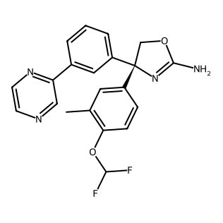 Cc1cc([C@@]2(c3cccc(-c4cnccn4)c3)COC(N)=N2)ccc1OC(F)F